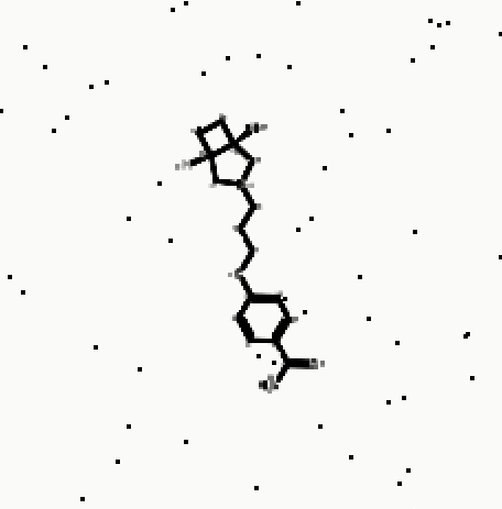 NC(=O)c1ccc(OCCCN2C[C@H]3CC[C@H]3C2)cc1